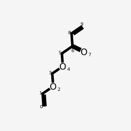 C=COCOCC(=O)C=C